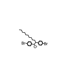 CCCCCCCCCCC(c1ccc(Br)cc1)C([O])c1ccc(Br)cc1